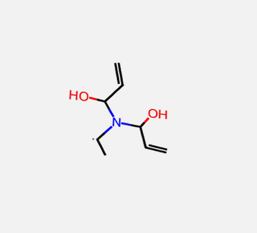 C=CC(O)N([CH]C)C(O)C=C